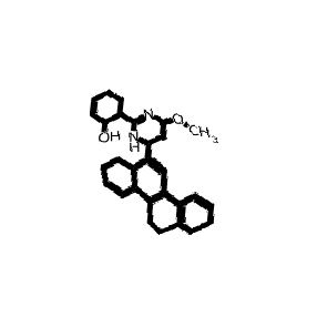 COC1CC(C2=CC3C4=C(CCC=C4)CCC3C3C=CCCC23)NC(C2CCC=CC2O)=N1